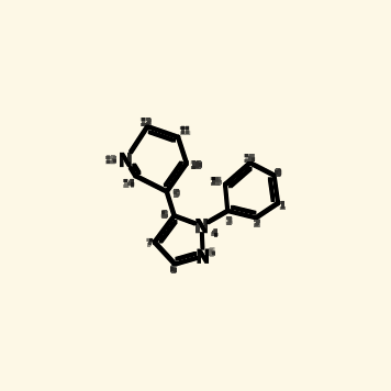 c1ccc(-n2nccc2-c2cccnc2)cc1